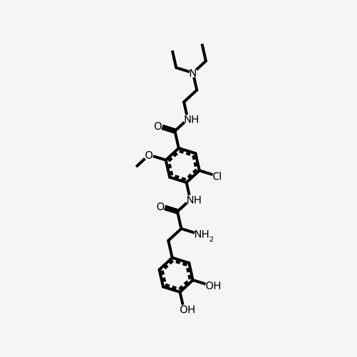 CCN(CC)CCNC(=O)c1cc(Cl)c(NC(=O)C(N)Cc2ccc(O)c(O)c2)cc1OC